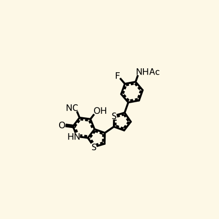 CC(=O)Nc1ccc(-c2ccc(-c3csc4[nH]c(=O)c(C#N)c(O)c34)s2)cc1F